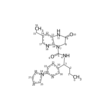 CCCC(NC(=O)N1CC(=O)Nc2cc(CC)cnc21)c1ccc(-n2cccc2)cc1